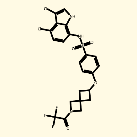 O=C(N1CC2(CC(Oc3ccc(S(=O)(=O)Nc4ccc(Cl)c5c(Cl)c[nH]c45)cc3)C2)C1)C(F)(F)F